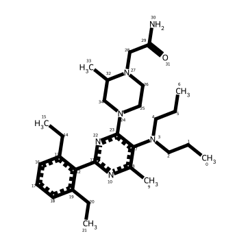 CCCN(CCC)c1c(C)nc(-c2c(CC)cccc2CC)nc1N1CCN(CC(N)=O)C(C)C1